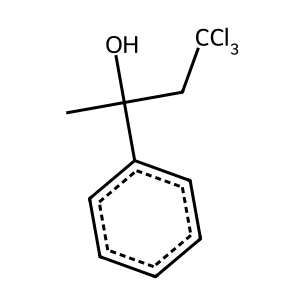 CC(O)(CC(Cl)(Cl)Cl)c1ccccc1